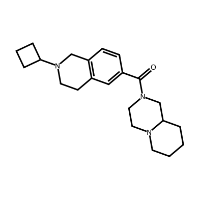 O=C(c1ccc2c(c1)CCN(C1CCC1)C2)N1CCN2CCCCC2C1